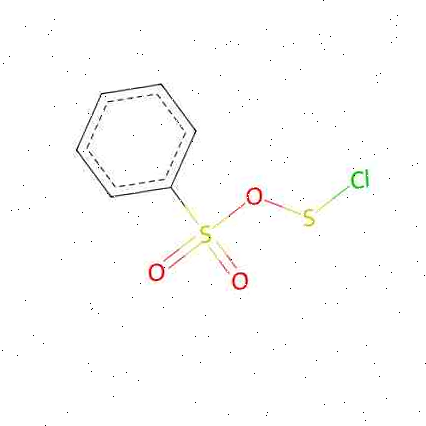 O=S(=O)(OSCl)c1ccccc1